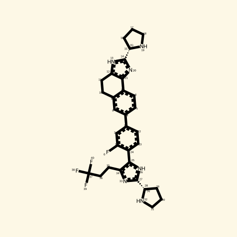 Fc1cc(-c2ccc3c(c2)CCc2[nH]c([C@@H]4CCCN4)nc2-3)ccc1-c1[nH]c([C@@H]2CCCN2)nc1CCC(F)(F)F